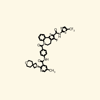 Cc1cnc(N2CC3(CCOCC3)C2)c(C(=O)Nc2ccc(C(=O)N3CCc4c(sc(C(=O)Nc5ncc(C(F)(F)F)s5)c4F)-c4ccccc43)cc2)c1